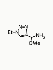 CCn1cc(C(N)OC)nn1